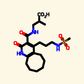 CC(CNC(=O)c1c(CCCNS(C)(=O)=O)c2c([nH]c1=O)CCCCCC2)C(=O)O